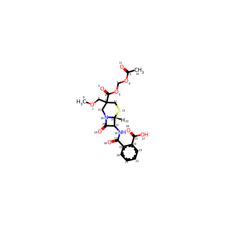 COCC1(C(=O)OCOC(C)=O)CS[C@@H]2C(NC(=O)c3ccccc3C(=O)O)C(=O)N2C1